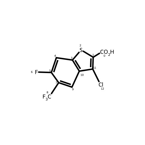 O=C(O)c1sc2cc(F)c(C(F)(F)F)cc2c1Cl